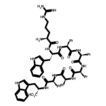 CC(C)[C@H](NC(=O)[C@H](Cc1c[nH]c2ccccc12)NC(=O)[C@@H](N)CCCNC(=N)N)C(=O)N[C@H](C(=O)N[C@H](C(=O)N[C@H](C(=O)N[C@H](C(=O)N[C@@H](Cc1c[nH]c2ccccc12)C(=O)O)C(C)C)C(C)C)C(C)C)C(C)C